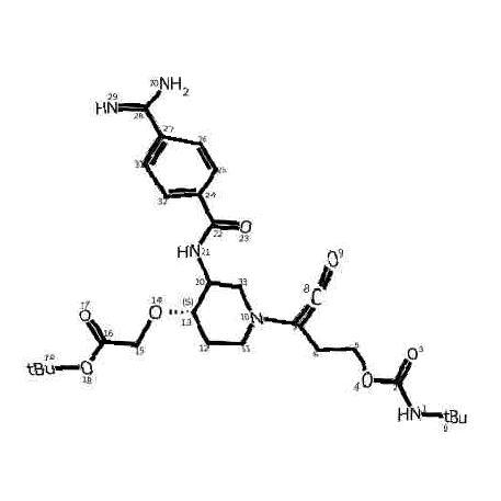 CC(C)(C)NC(=O)OCCC(=C=O)N1CC[C@H](OCC(=O)OC(C)(C)C)C(NC(=O)c2ccc(C(=N)N)cc2)C1